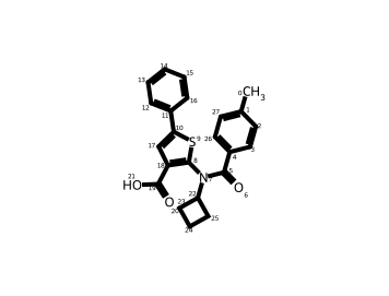 Cc1ccc(C(=O)N(c2sc(-c3ccccc3)cc2C(=O)O)C2CCC2)cc1